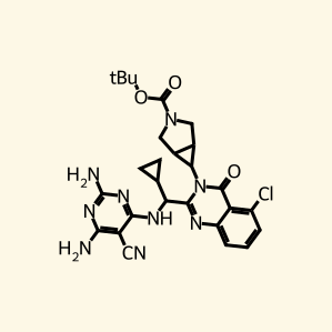 CC(C)(C)OC(=O)N1CC2C(C1)C2n1c(C(Nc2nc(N)nc(N)c2C#N)C2CC2)nc2cccc(Cl)c2c1=O